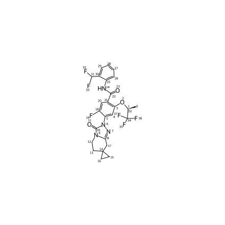 C[C@H](Oc1cc(-n2nc3n(c2=O)CCC2(CC2)C3)c(F)cc1C(=O)Nc1ccccc1C(F)F)C(F)(F)F